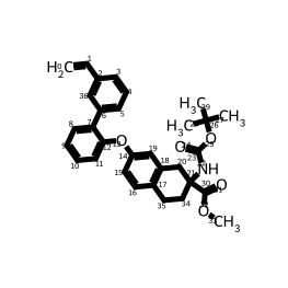 C=Cc1cccc(-c2ccccc2Oc2ccc3c(c2)CC(NC(=O)OC(C)(C)C)(C(=O)OC)CC3)c1